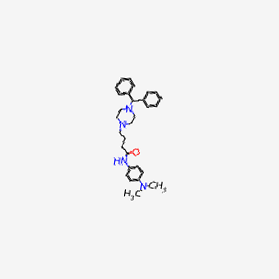 CN(C)c1ccc(NC(=O)CCCN2CCN(C(c3ccccc3)c3ccccc3)CC2)cc1